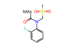 CNC(=O)N(CS(C)(=O)=O)c1ccccc1F